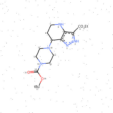 CCOC(=O)c1[nH]nc2c1NCCC2N1CCN(C(=O)OC(C)(C)C)CC1